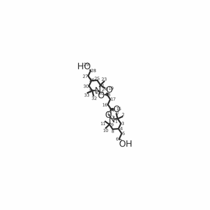 CC1(C)CC(CCO)CC(C)(C)N1OC(=O)CCC(=O)ON1C(C)(C)CC(CCO)CC1(C)C